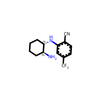 N#Cc1ccc(C(F)(F)F)cc1N[C@H]1CCCC[C@@H]1N